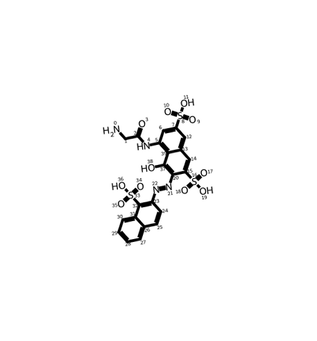 NCC(=O)Nc1cc(S(=O)(=O)O)cc2cc(S(=O)(=O)O)c(N=Nc3ccc4ccccc4c3S(=O)(=O)O)c(O)c12